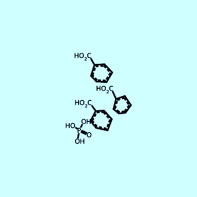 O=C(O)c1ccccc1.O=C(O)c1ccccc1.O=C(O)c1ccccc1.O=P(O)(O)O